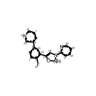 Fc1ccc(-c2cccnc2)cc1C1=CN(c2ccccn2)NO1